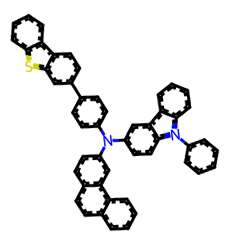 c1ccc(-n2c3ccccc3c3cc(N(c4ccc(-c5ccc6c(c5)sc5ccccc56)cc4)c4ccc5ccc6ccccc6c5c4)ccc32)cc1